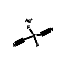 N#C[B-](F)(F)C#N.[Ag+]